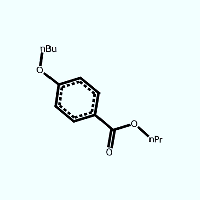 CCCCOc1ccc(C(=O)OCCC)cc1